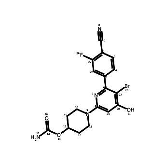 N#Cc1ccc(-c2nc(N3CCC(OC(N)=O)CC3)cc(O)c2Br)cc1F